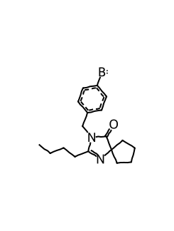 [B]c1ccc(CN2C(=O)C3(CCCC3)N=C2CCCC)cc1